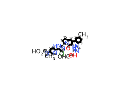 Cc1ccc(-n2cnnn2)c(-c2cc3n(c(=O)c2)[C@H](c2nc(Cl)c(-c4ccc(N(C)C(=O)O)cn4)[nH]2)CC3)c1.O=CO